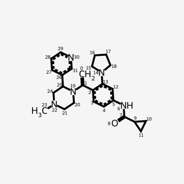 C=C(c1ccc(NC(=O)C2CC2)cc1N1CCCC1)N1CCN(C)CC1c1cccnc1